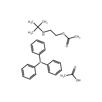 CC(=O)O.CC(=O)OCCNC(C)(C)C.c1ccc(P(c2ccccc2)c2ccccc2)cc1